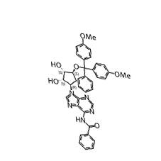 COc1ccc(C(O[C@H]2C[C@@H](n3cnc4c(NC(=O)c5ccccc5)ncnc43)[C@H](O)[C@@H]2O)(c2ccccc2)c2ccc(OC)cc2)cc1